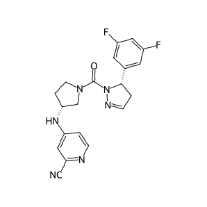 N#Cc1cc(N[C@@H]2CCN(C(=O)N3N=CC[C@H]3c3cc(F)cc(F)c3)C2)ccn1